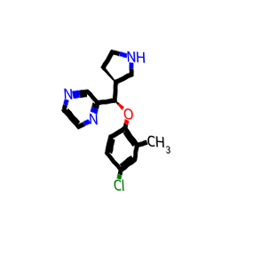 Cc1cc(Cl)ccc1O[C@@H](c1cnccn1)[C@H]1CCNC1